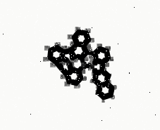 c1ccc2cc3c(cc2c1)c1cccc2c1n3B1c3cccc4c5cccc6c7c8ccccc8c-2c1c7n(c34)c56